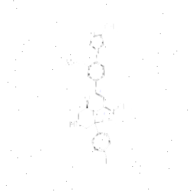 C/N=C(\C=C\c1ccc(-n2cnc(C)c2)c(OC)c1)N1C(=O)CNCC1(C)c1ccc(F)cc1